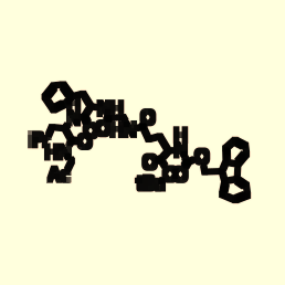 CC(=O)CNC(=O)C(CC(C)C)NC(=O)C(Cc1ccccc1)NC(=O)CNC(=O)CCC(NC(=O)OCC1c2ccccc2-c2ccccc21)C(=O)OC(C)(C)C